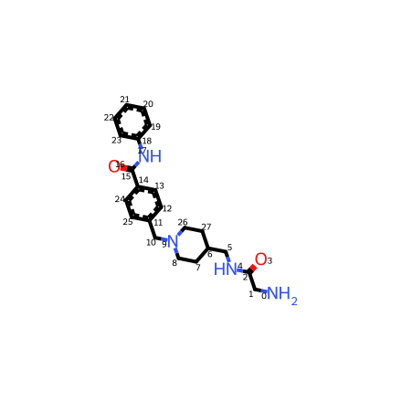 NCC(=O)NCC1CCN(Cc2ccc(C(=O)Nc3ccccc3)cc2)CC1